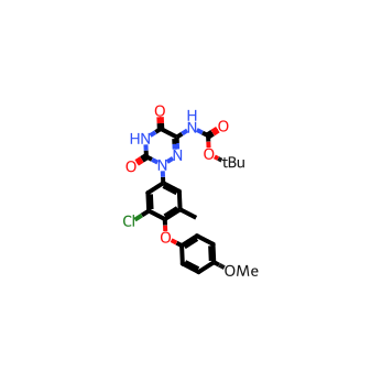 COc1ccc(Oc2c(C)cc(-n3nc(NC(=O)OC(C)(C)C)c(=O)[nH]c3=O)cc2Cl)cc1